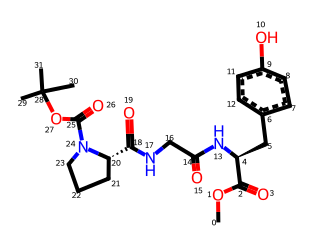 COC(=O)[C@H](Cc1ccc(O)cc1)NC(=O)CNC(=O)[C@@H]1CCCN1C(=O)OC(C)(C)C